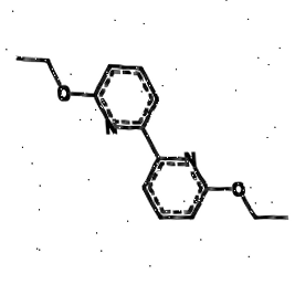 CCOc1cccc(-c2cccc(OCC)n2)n1